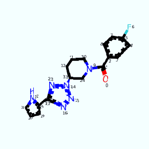 O=C(c1ccc(F)cc1)N1CCC[C@H](n2nnc(-c3ccc[nH]3)n2)C1